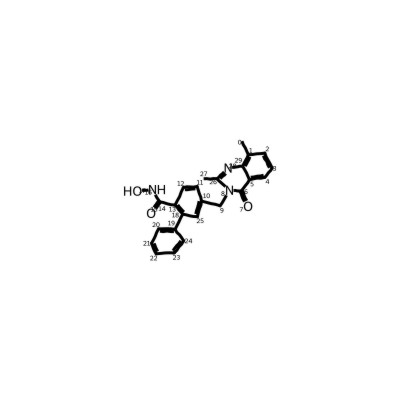 Cc1cccc2c(=O)n(Cc3ccc(C(=O)NO)c(-c4ccccc4)c3)c(C)nc12